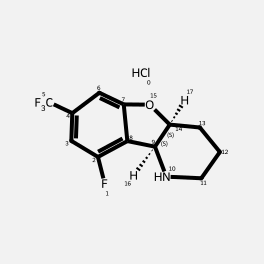 Cl.Fc1cc(C(F)(F)F)cc2c1[C@@H]1NCCC[C@@H]1O2